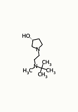 CN(CCN1CC[C@@H](O)C1)C(C)(C)C